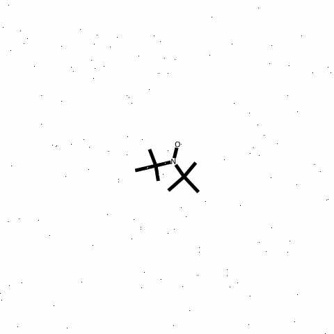 CC(C)(C)N([O])C(C)(C)C